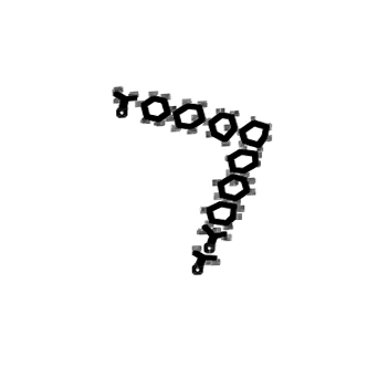 C1CCCCC1.C1CCCCC1.C1CCCCC1.C1CCCCC1.C1CCCCC1.C1CCCCC1.C1CCCCC1.CC(C)=O.CC(C)=O.CC(C)=O